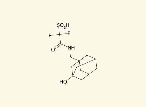 O=C(NCC12CC3CC(CC(O)(C3)C1)C2)C(F)(F)S(=O)(=O)O